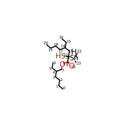 CCCCC(CC)COC(=O)[C](S)(CC(CC)CCCC)[SnH]([CH3])[CH3]